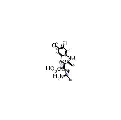 C=C(Nc1ccc(Cl)c(Cl)c1)/C(C)=C(\N=C(\C)N)C(=O)O